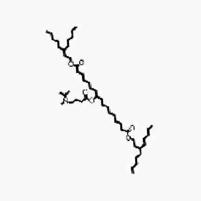 CCCCCC(CCCCC)CCOC(=O)CCCCCCCCC(CCCCCCC(=O)OCCC(CCCCC)CCCCC)OC(=O)CCCN(C)C(C)C